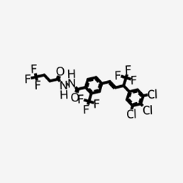 O=C(CCC(F)(F)F)NNC(=O)c1ccc(C=CC(c2cc(Cl)c(Cl)c(Cl)c2)C(F)(F)F)cc1C(F)(F)F